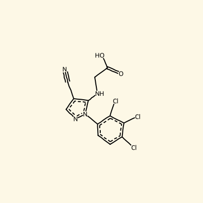 N#Cc1cnn(-c2ccc(Cl)c(Cl)c2Cl)c1NCC(=O)O